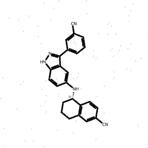 N#Cc1cccc(-c2n[nH]c3ccc(N[C@H]4CCCc5cc(C#N)ccc54)cc23)c1